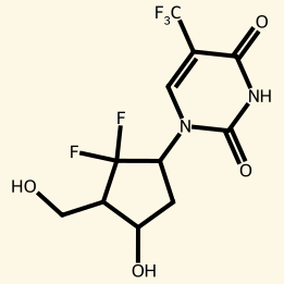 O=c1[nH]c(=O)n(C2CC(O)C(CO)C2(F)F)cc1C(F)(F)F